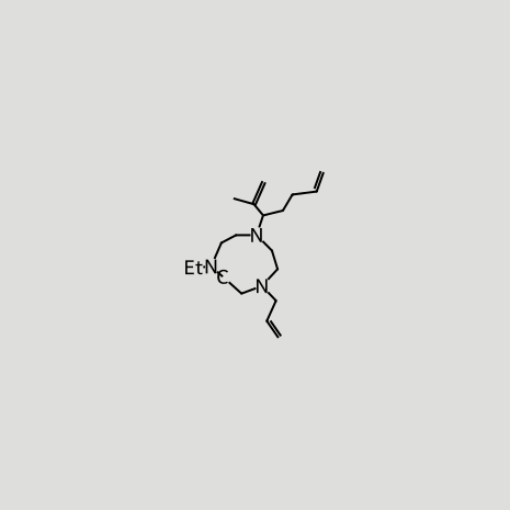 C=CCCC(C(=C)C)N1CCN(CC)CCN(CC=C)CC1